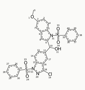 COc1ccc2c(c1)cc(C(O)c1ccc3c(c1)c(Cl)nn3S(=O)(=O)c1ccccc1)n2S(=O)(=O)c1ccccc1